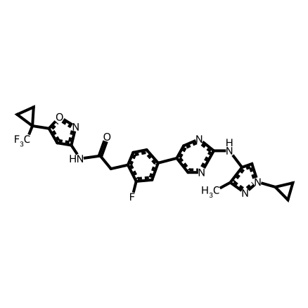 Cc1nn(C2CC2)cc1Nc1ncc(-c2ccc(CC(=O)Nc3cc(C4(C(F)(F)F)CC4)on3)c(F)c2)cn1